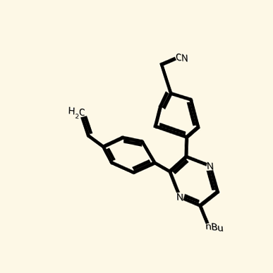 C=Cc1ccc(-c2nc(CCCC)cnc2-c2ccc(CC#N)cc2)cc1